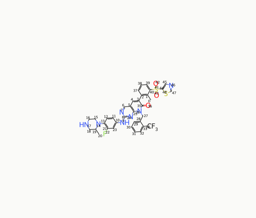 Cc1c(-c2cc3cnc(Nc4ccc(N5CCNCC5C)c(F)c4)nc3n(Cc3ccccc3C(F)(F)F)c2=O)cccc1S(=O)(=O)c1cncs1